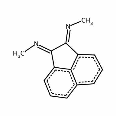 C/N=C1/C(=N/C)c2cccc3cccc1c23